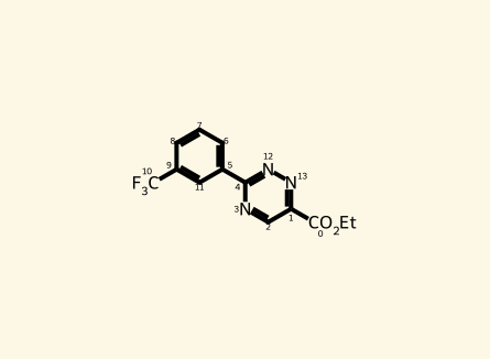 CCOC(=O)c1cnc(-c2cccc(C(F)(F)F)c2)nn1